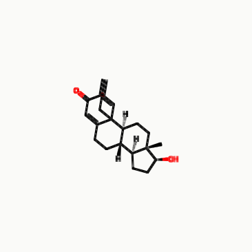 C#CCC12C=CC(=O)C=C1CC[C@@H]1[C@@H]2CC[C@]2(C)[C@@H](O)CC[C@@H]12